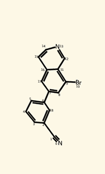 N#Cc1cccc(-c2cc(Br)c3cnccc3c2)c1